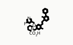 Cc1cc(CN2CCCC[C@H]2C(=O)O)c(OCc2cncc(F)c2)cc1/C=C/c1cccc(-c2ccccc2)c1C